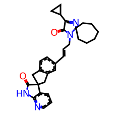 O=C1C(C2CC2)=NC2(CCCCCC2)N1C/C=C/c1ccc2c(c1)CC1(C2)C(=O)Nc2ncccc21